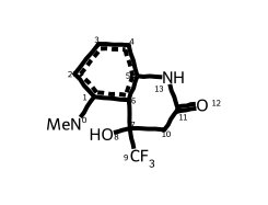 CNc1cccc2c1C(O)(C(F)(F)F)CC(=O)N2